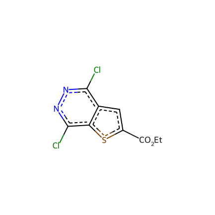 CCOC(=O)c1cc2c(Cl)nnc(Cl)c2s1